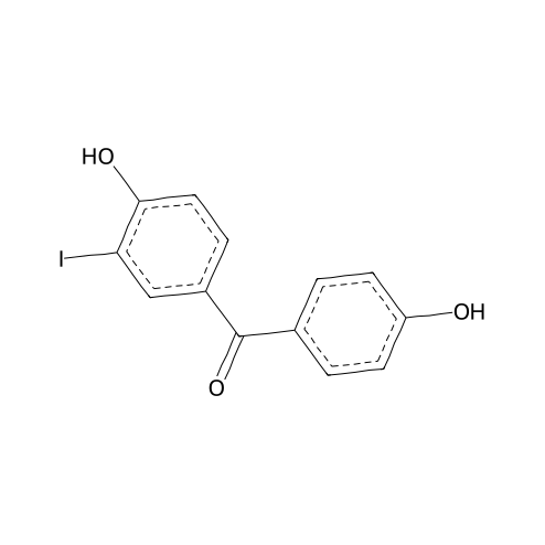 O=C(c1ccc(O)cc1)c1ccc(O)c(I)c1